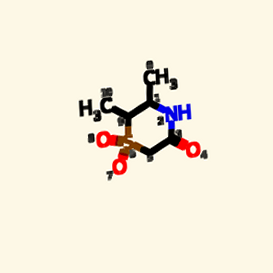 CC1NC(=O)CS(=O)(=O)C1C